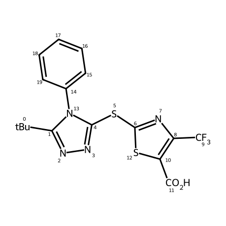 CC(C)(C)c1nnc(Sc2nc(C(F)(F)F)c(C(=O)O)s2)n1-c1ccccc1